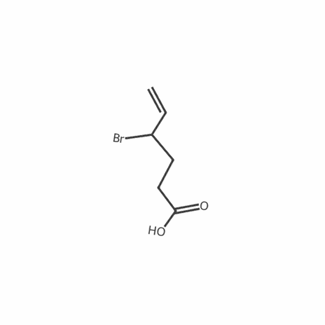 C=CC(Br)CCC(=O)O